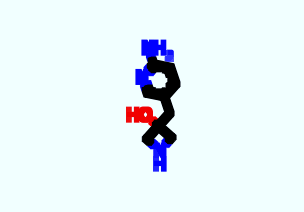 Nc1ccc(CC2(O)CNC2)cn1